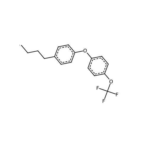 [CH2]CCCc1ccc(Oc2ccc(OC(F)(F)F)cc2)cc1